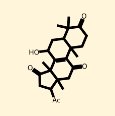 CC(=O)C1CC(=O)C2(C)C3=C(C(=O)CC12C)C1(C)CCC(=O)C(C)(C)C1CC3O